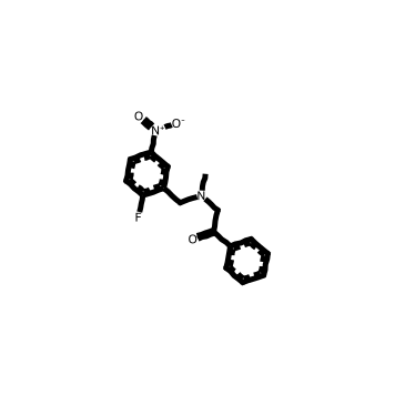 CN(CC(=O)c1ccccc1)Cc1cc([N+](=O)[O-])ccc1F